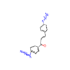 [N-]=[N+]=Nc1ccc(C=CC(=O)c2ccc(N=[N+]=[N-])cc2)cc1